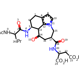 CC(=O)NC(C(=O)N[C@H]1CCc2ccn3c2C1C(=O)C[C@H](C(=O)NC(CC(=O)O)C(=O)O)C3)C(C)C